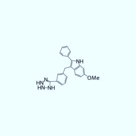 COc1ccc2c(Cc3cccc(C4=NNNN4)c3)c(-c3ccccc3)[nH]c2c1